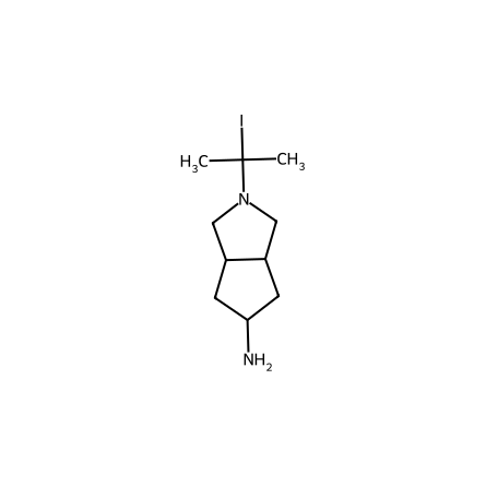 CC(C)(I)N1CC2CC(N)CC2C1